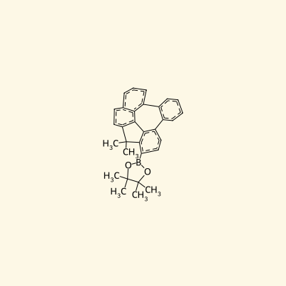 CC1(C)c2ccc3cccc4c3c2-c2c(ccc(B3OC(C)(C)C(C)(C)O3)c21)-c1ccccc1-4